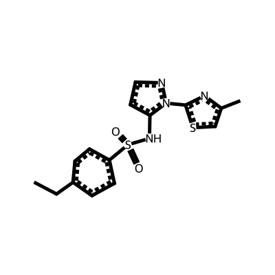 CCc1ccc(S(=O)(=O)Nc2ccnn2-c2nc(C)cs2)cc1